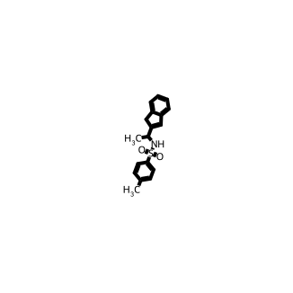 Cc1ccc(S(=O)(=O)NC(C)C2=Cc3ccccc3C2)cc1